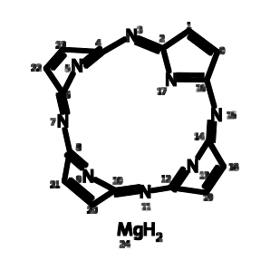 C1=C/C2=N/C3=NC(=N\C4=NC(=N\C5=NC(=N\C1=N2)/C=C5)/C=C4)/C=C3.[MgH2]